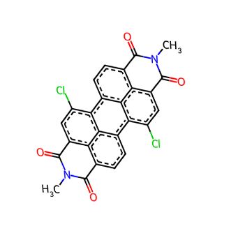 CN1C(=O)c2ccc3c4c(Cl)cc5c6c(ccc(c7c(Cl)cc(c2c37)C1=O)c64)C(=O)N(C)C5=O